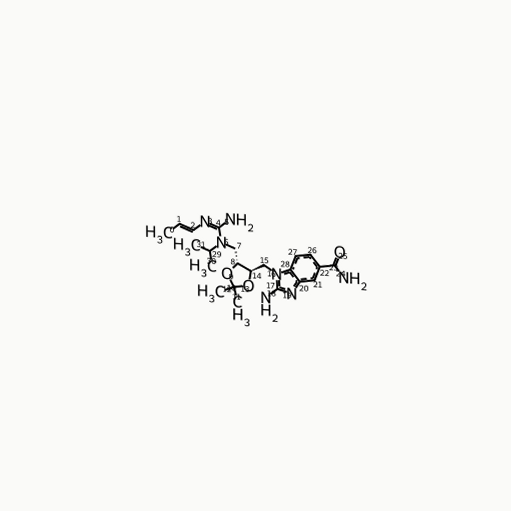 C/C=C/N=C(/N)N(C[C@H]1OC(C)(C)O[C@@H]1Cn1c(N)nc2cc(C(N)=O)ccc21)C(C)C